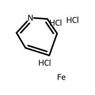 Cl.Cl.Cl.[Fe].c1ccncc1